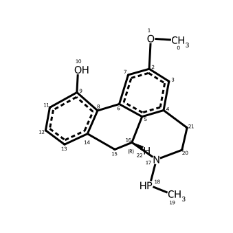 COc1cc2c3c(c1)-c1c(O)cccc1C[C@H]3N(PC)CC2